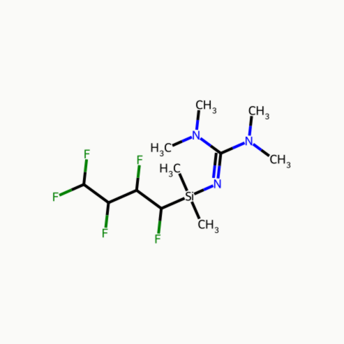 CN(C)C(=N[Si](C)(C)C(F)C(F)C(F)C(F)F)N(C)C